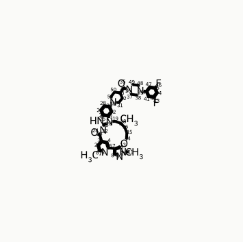 Cc1cc2cc(n1)-c1cnn(C)c1OCCC[C@@H](C)CN1/C(=N/C2=O)Nc2ccc(N3CCC(C(=O)N4CCN(c5cc(F)cc(F)c5)CC4)CC3)cc21